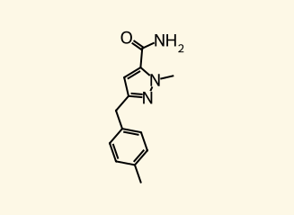 Cc1ccc(Cc2cc(C(N)=O)n(C)n2)cc1